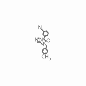 Cc1ccc(CN2Cc3cncn3C(c3cccc(C#N)c3)C2=O)cc1